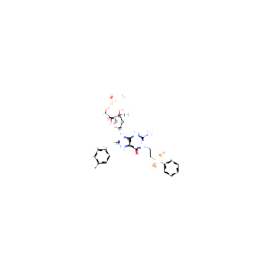 Nc1nc2c(nc(Sc3ccc(Cl)cc3)n2[C@H]2C[C@@H]3OP(=O)(O)OC[C@H]3O2)c(=O)n1CCS(=O)(=O)c1ccccc1